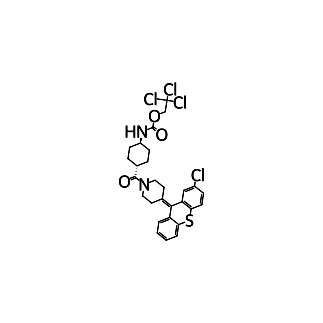 O=C(N[C@H]1CC[C@H](C(=O)N2CCC(=C3c4ccccc4Sc4ccc(Cl)cc43)CC2)CC1)OCC(Cl)(Cl)Cl